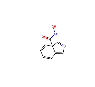 O=C(NO)C12C=CC=CC1=CN=C2